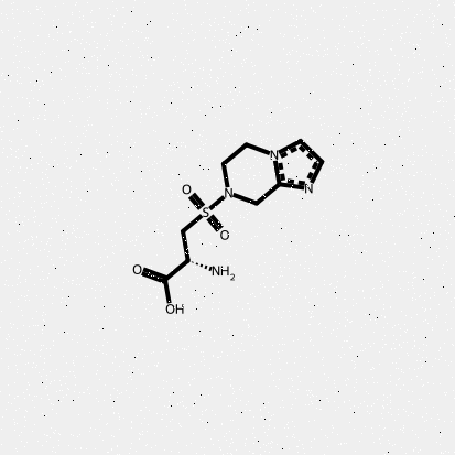 N[C@@H](CS(=O)(=O)N1CCn2ccnc2C1)C(=O)O